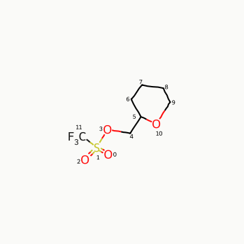 O=S(=O)(OCC1CCCCO1)C(F)(F)F